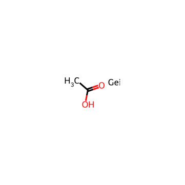 CC(=O)O.[Ge]